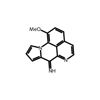 COc1ccc2ccnc3c(=N)c4cccn4c1c23